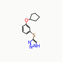 c1cc(OC2CCCC2)cc(Sc2c[nH]nn2)c1